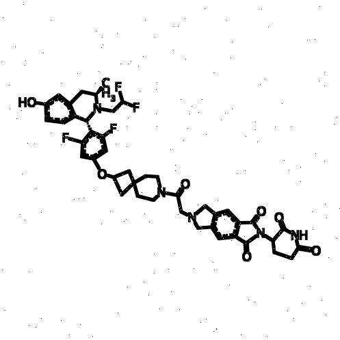 C[C@@H]1Cc2cc(O)ccc2[C@@H](c2c(F)cc(OC3CC4(CCN(C(=O)CN5Cc6cc7c(cc6C5)C(=O)N(C5CCC(=O)NC5=O)C7=O)CC4)C3)cc2F)N1CC(F)F